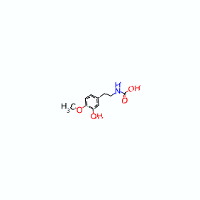 COc1ccc(CCNC(=O)O)cc1O